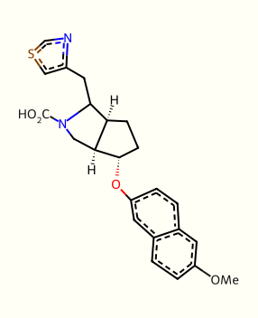 COc1ccc2cc(O[C@H]3CC[C@@H]4C(Cc5cscn5)N(C(=O)O)C[C@H]34)ccc2c1